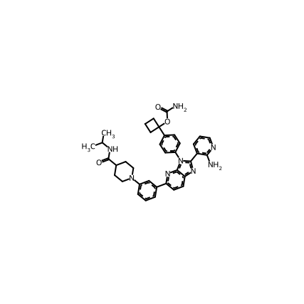 CC(C)NC(=O)C1CCN(c2cccc(-c3ccc4nc(-c5cccnc5N)n(-c5ccc(C6(OC(N)=O)CCC6)cc5)c4n3)c2)CC1